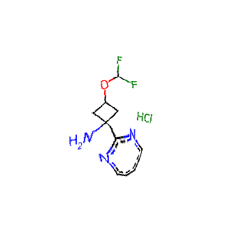 Cl.NC1(c2ncccn2)CC(OC(F)F)C1